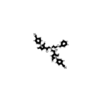 Cc1cc(C(=O)CN(CCOCc2ccccc2)CC(=O)c2cc(C)n(-c3ccc(C#N)cc3)c2C)c(C)n1-c1ccc(C#N)cc1